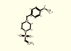 C=CS(=O)(=O)N1CCN(Cc2ccc(SC(F)(F)F)cc2)CC1